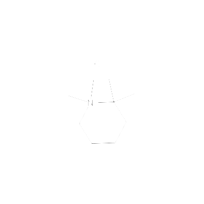 CC1(C)CCCC[N+]1(C)C.[Cl-]